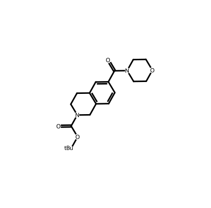 CC(C)(C)OC(=O)N1CCc2cc(C(=O)N3CCOCC3)ccc2C1